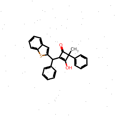 CC1(c2ccccc2)C(=O)C(C(c2ccccc2)c2cc3ccccc3s2)=C1O